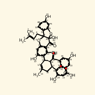 CC(C)=CCC12Oc3cc(O)c(C4C=C(C)CC(c5ccc(O)cc5O)C4C(=O)c4cc(O)cc(O)c4)c(O)c3C(=O)C1(O)Oc1cc(O)ccc12